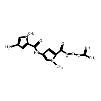 CC(=N)CCNC(=O)c1cc(NC(=O)c2cc(N)cn2C)cn1C